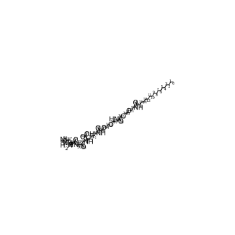 CCCCCCCCCCCCCCCCCC(=O)NCCOCCOCC(=O)NCCOCCOCC(=O)NCCCC[C@H](NCC(=O)C(C)(C)NC(=O)[C@@H](N)Cc1cnc[nH]1)C(=O)O